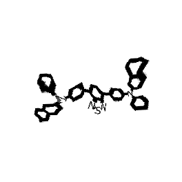 c1ccc(N(c2ccc(-c3ccc(-c4ccc(N(c5ccccc5)c5ccc6ccccc6c5)cc4)c4nsnc34)cc2)c2ccc3ccccc3c2)cc1